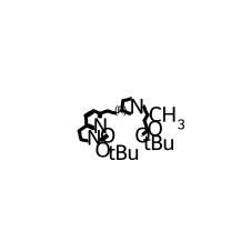 CC(CC(=O)OC(C)(C)C)CN1CC[C@@H](CCc2ccc3c(n2)N(C(=O)OC(C)(C)C)CCC3)C1